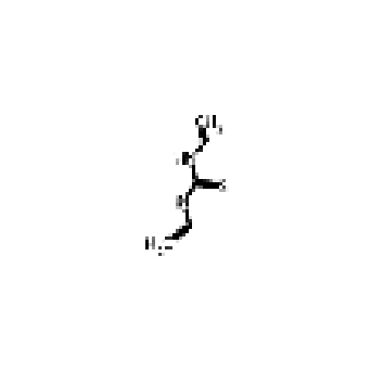 C=CNC(=S)NC=C